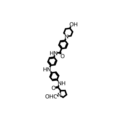 O=CN1CCCC1C(=O)Nc1ccc(Nc2ccc(NC(=O)c3ccc(N4CCC(O)CC4)cc3)cc2)cc1